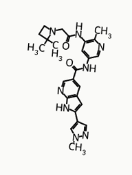 Cc1ncc(NC(=O)c2cnc3[nH]c(-c4cnn(C)c4)cc3c2)cc1NC(=O)CN1CCC1(C)C